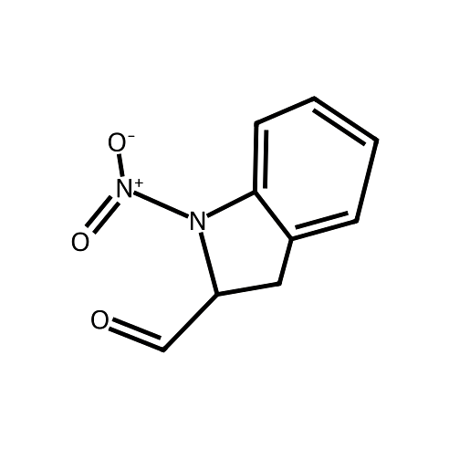 O=CC1Cc2ccccc2N1[N+](=O)[O-]